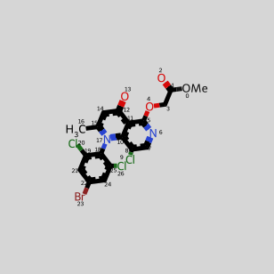 COC(=O)COc1ncc(Cl)c2c1c(=O)cc(C)n2-c1c(Cl)cc(Br)cc1Cl